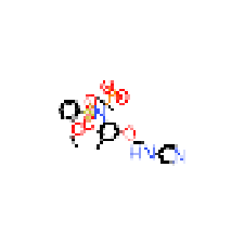 CCOc1ccccc1S(=O)(=O)N(c1cc(C)cc(OCCNc2ccncc2)c1)C(C)(C)P(=O)=O